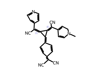 CN1C=CC(/C(C#N)=C2\C(=c3ccc(=C(C#N)C#N)cc3)\C2=C(/C#N)c2ccncc2)=CC1